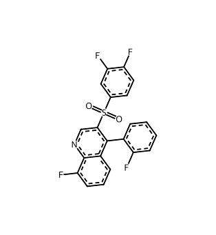 O=S(=O)(c1ccc(F)c(F)c1)c1cnc2c(F)cccc2c1-c1ccccc1F